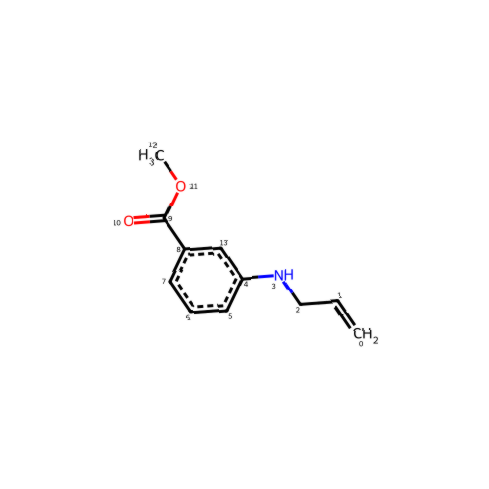 C=CCNc1cccc(C(=O)OC)c1